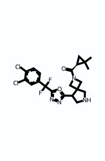 CC1(C)C[C@@H]1C(=O)N1CC2(CNCC2c2nnc(C(F)(F)c3ccc(Cl)c(Cl)c3)o2)C1